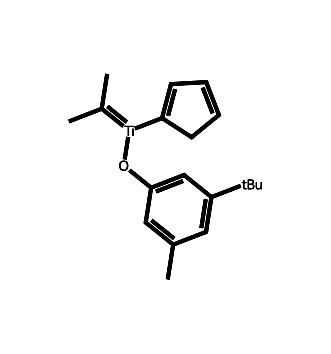 C[C](C)=[Ti]([O]c1cc(C)cc(C(C)(C)C)c1)[C]1=CC=CC1